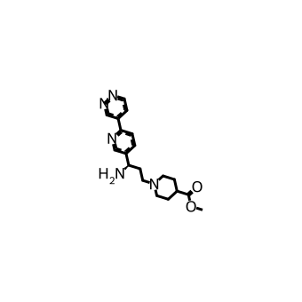 COC(=O)C1CCN(CC[C@@H](N)c2ccc(-c3ccnnc3)nc2)CC1